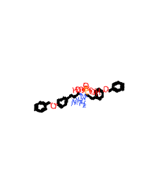 N[C@@H](Cc1ccc(OCc2ccccc2)cc1)C(=O)NC(Cc1ccc(OCc2ccccc2)cc1)P(=O)(O)O